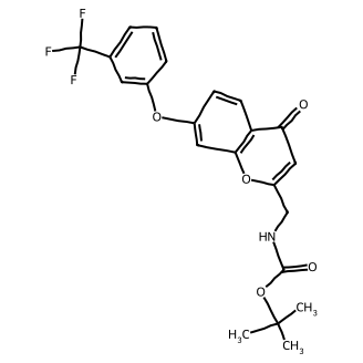 CC(C)(C)OC(=O)NCc1cc(=O)c2ccc(Oc3cccc(C(F)(F)F)c3)cc2o1